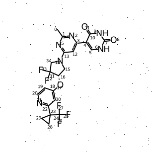 Cc1nc(-c2c[nH]c(=O)[nH]c2=O)cc(N2C[C@H](Oc3ccnc(C4(C(F)(F)F)CC4)c3)C(F)(F)C2)n1